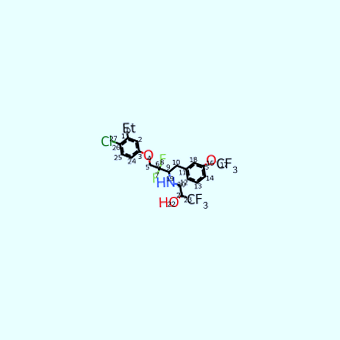 CCc1cc(OCC(F)(F)C(Cc2cccc(OC(F)(F)F)c2)NCC(O)C(F)(F)F)ccc1Cl